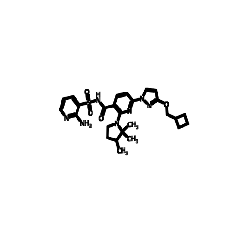 CC1CCN(c2nc(-n3ccc(OCC4CCC4)n3)ccc2C(=O)NS(=O)(=O)c2cccnc2N)C1(C)C